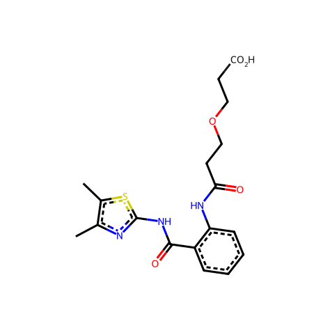 Cc1nc(NC(=O)c2ccccc2NC(=O)CCOCCC(=O)O)sc1C